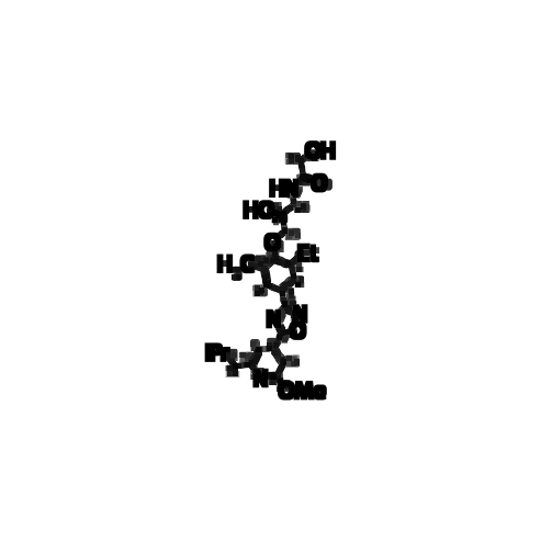 CCc1cc(-c2noc(-c3cc(CC(C)C)nc(OC)c3)n2)cc(C)c1OC[C@@H](O)CNC(=O)CO